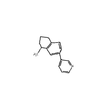 CC1CCCc2ccc(-c3cccnc3)cc21